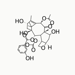 COC(=O)O[C@@]12CO[C@@H]1CC(O)[C@@]1(C)C(=O)[C@H](OC(C)=O)C3=C(C)[C@@H](O)C[C@@](O)([C@@H](OC(=O)c4cccc(O)c4)C12)C3(C)C